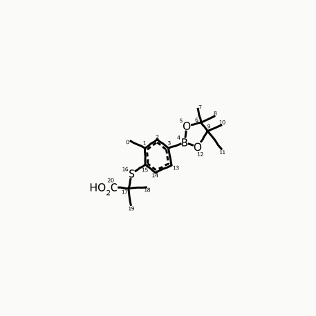 Cc1cc(B2OC(C)(C)C(C)(C)O2)ccc1SC(C)(C)C(=O)O